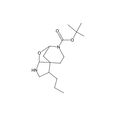 CCCC1CNC2OC3CC12CCN3C(=O)OC(C)(C)C